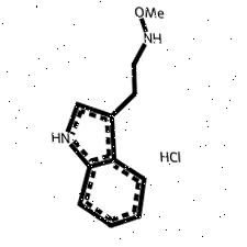 CONCCc1c[nH]c2ccccc12.Cl